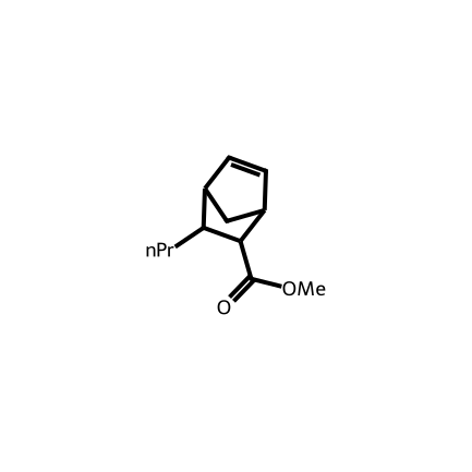 CCCC1C2C=CC(C2)C1C(=O)OC